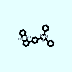 c1ccc(-c2nc(-c3ccccc3)nc(-c3ccc(-c4cccc5c4Nc4ccccc4N5)cc3)n2)cc1